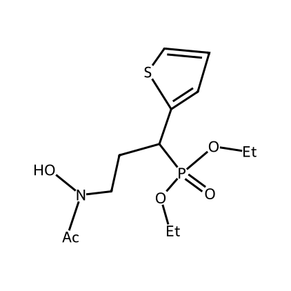 CCOP(=O)(OCC)C(CCN(O)C(C)=O)c1cccs1